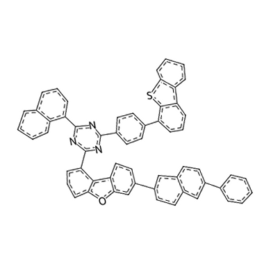 c1ccc(-c2ccc3cc(-c4ccc5c(c4)oc4cccc(-c6nc(-c7ccc(-c8cccc9c8sc8ccccc89)cc7)nc(-c7cccc8ccccc78)n6)c45)ccc3c2)cc1